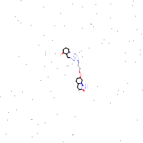 COc1cccc2c1cc1n2CCN(CCCCOc2ccc3ccc(=O)[nH]c3c2)C1